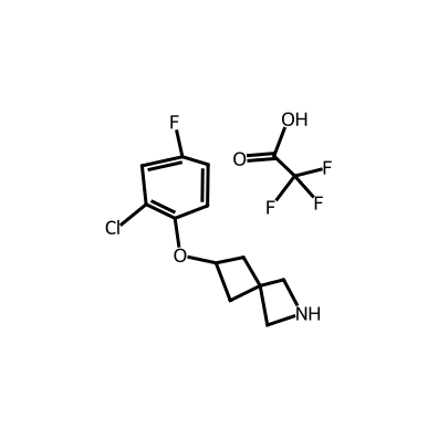 Fc1ccc(OC2CC3(CNC3)C2)c(Cl)c1.O=C(O)C(F)(F)F